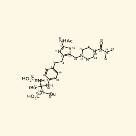 CC(=O)Nc1nc(CCc2ccc(NC(NC(=O)O)(N(C(=O)O)C(C)(C)C)C(C)(C)C)cc2)c(CN2CCN(C(=O)N(C)C)CC2)s1